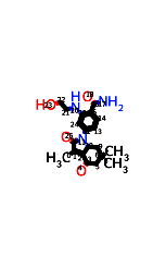 CC1=C2C(=O)CC(C)(C)CC2N(c2ccc(C(N)=O)c(NCCO)c2)C1=O